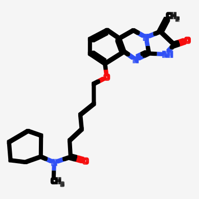 C=c1c(=O)[nH]c2n1Cc1cccc(OCCCCCC(=O)N(C)C3CCCCC3)c1N=2